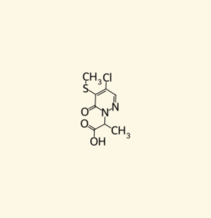 CSc1c(Cl)cnn(C(C)C(=O)O)c1=O